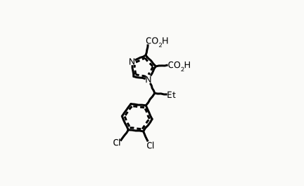 CCC(c1ccc(Cl)c(Cl)c1)n1cnc(C(=O)O)c1C(=O)O